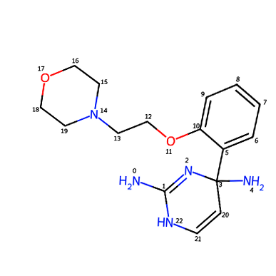 NC1=NC(N)(c2ccccc2OCCN2CCOCC2)C=CN1